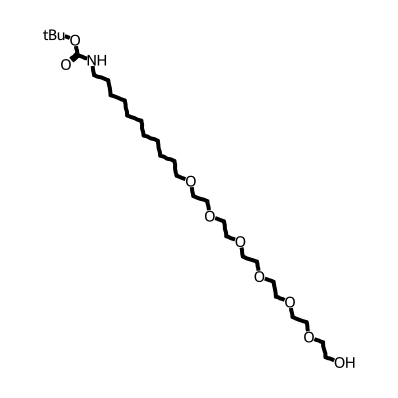 CC(C)(C)OC(=O)NCCCCCCCCCCCOCCOCCOCCOCCOCCOCCO